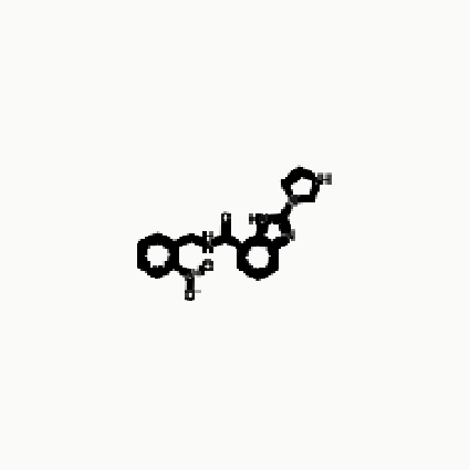 O=C(NCc1ccccc1[N+](=O)[O-])c1cccc2nc(N3C=CNC3)[nH]c12